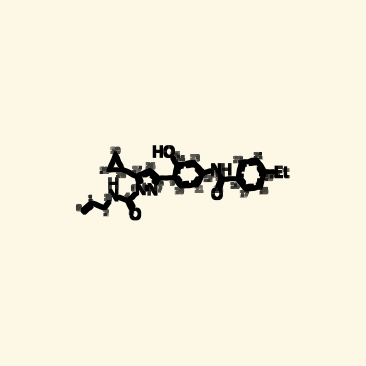 C=CCNC(=O)n1nc(-c2ccc(NC(=O)c3ccc(CC)cc3)cc2O)cc1C1CC1